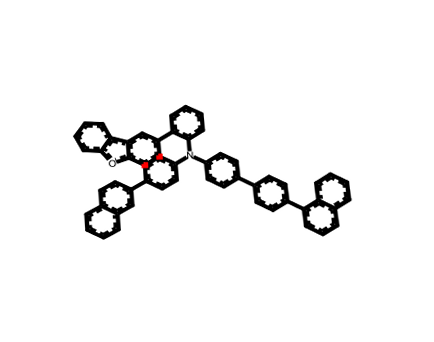 c1ccc(N(c2ccc(-c3ccc(-c4cccc5ccccc45)cc3)cc2)c2ccc(-c3ccc4ccccc4c3)cc2)c(-c2ccc3oc4ccccc4c3c2)c1